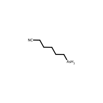 N#CCCCCC[AsH2]